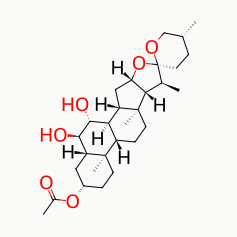 CC(=O)O[C@H]1CC[C@@]2(C)[C@H](C1)[C@@H](O)[C@H](O)[C@@H]1[C@@H]2CC[C@]2(C)[C@@H]3[C@H](C[C@@H]12)O[C@]1(CC[C@@H](C)CO1)[C@H]3C